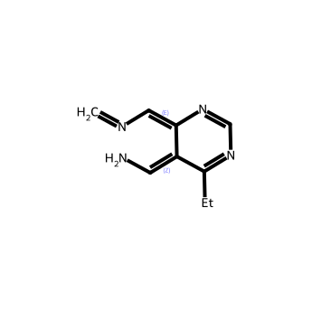 C=N/C=c1/ncnc(CC)/c1=C/N